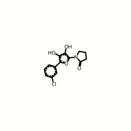 O=C1CCCN1c1oc(-c2cccc(Cl)c2)c(O)c1O